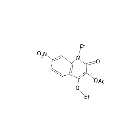 CCOc1c(OC(C)=O)c(=O)n(CC)c2cc([N+](=O)[O-])ccc12